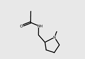 CC(=O)NCC1CCCN1C